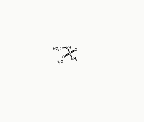 NS(=O)(=O)NC(=O)O.O